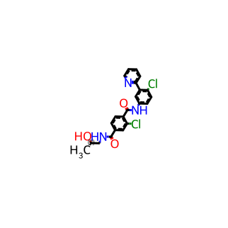 C[C@@H](O)CNC(=O)c1ccc(C(=O)Nc2ccc(Cl)c(-c3ccccn3)c2)c(Cl)c1